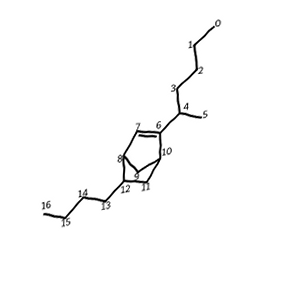 CCCCC(C)C1=CC2CC1CC2CCCC